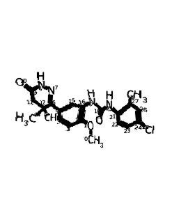 COc1ccc(C2=NNC(=O)CC2(C)C)cc1NC(=O)Nc1ccc(Cl)cc1C